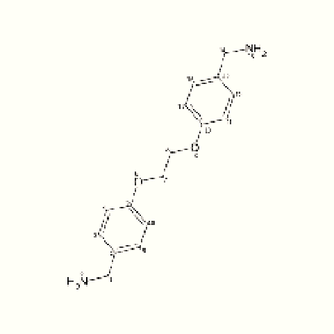 NCc1ccc(OCCOc2ccc(CN)cc2)cc1